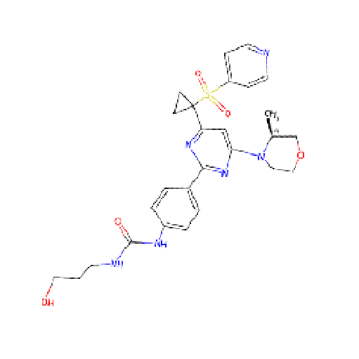 C[C@H]1COCCN1c1cc(C2(S(=O)(=O)c3ccncc3)CC2)nc(-c2ccc(NC(=O)NCCCO)cc2)n1